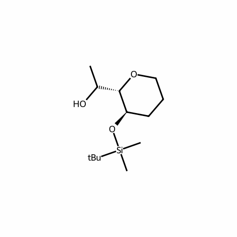 CC(O)[C@@H]1OCCC[C@H]1O[Si](C)(C)C(C)(C)C